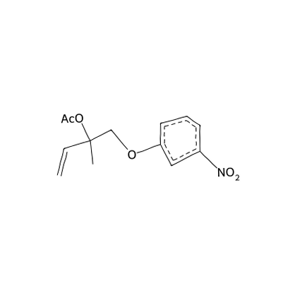 C=CC(C)(COc1cccc([N+](=O)[O-])c1)OC(C)=O